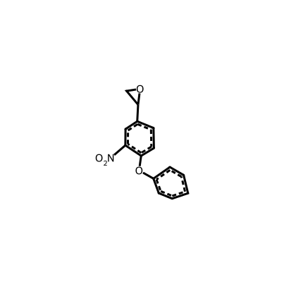 O=[N+]([O-])c1cc(C2CO2)ccc1Oc1ccccc1